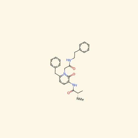 CN[C@@H](C)C(=O)Nc1ccc(Cc2ccccc2)n(CC(=O)NCCc2ccccc2)c1=O